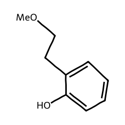 COCCc1ccccc1O